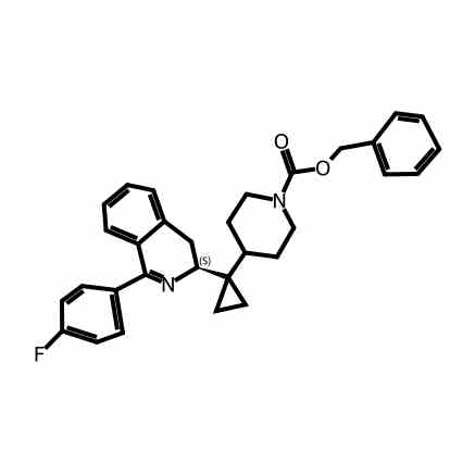 O=C(OCc1ccccc1)N1CCC(C2([C@@H]3Cc4ccccc4C(c4ccc(F)cc4)=N3)CC2)CC1